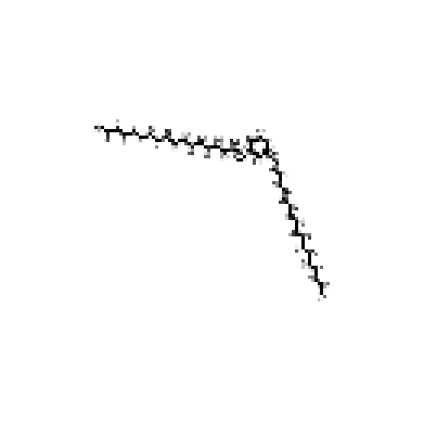 CCCCCCCCCCCCCCCCCSc1c[c]cc(SCCCCCCCCCCCCCCCCC)c1